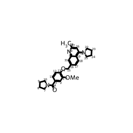 COc1cc(C(=O)N2CCCC2)ccc1OCc1ccc2c(N3CCCC3)cc(C)nc2c1